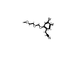 COCCOCOc1cc(Br)c(F)cc1CC#N